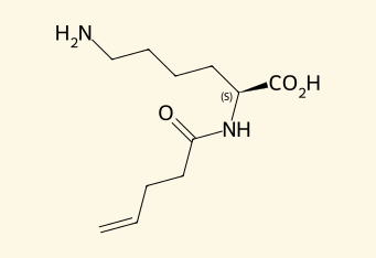 C=CCCC(=O)N[C@@H](CCCCN)C(=O)O